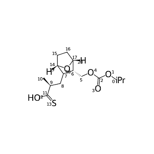 CC(C)OC(=O)OC[C@@H]1C(C[C@H](C)C(O)=S)[C@@H]2CC[C@H]1O2